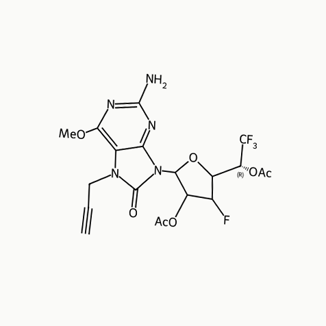 C#CCn1c(=O)n(C2OC([C@@H](OC(C)=O)C(F)(F)F)C(F)C2OC(C)=O)c2nc(N)nc(OC)c21